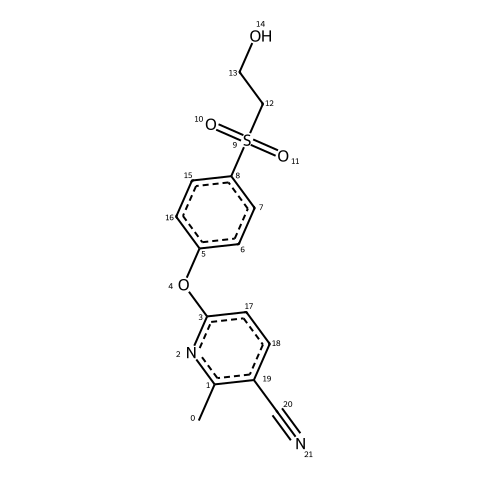 Cc1nc(Oc2ccc(S(=O)(=O)CCO)cc2)ccc1C#N